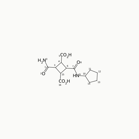 NC(=O)C1C(C(=O)O)C(C(=O)NC2CCCC2)C1C(=O)O